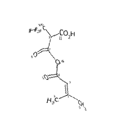 CC(C)=CC(=O)OC(=O)C(C)C(=O)O